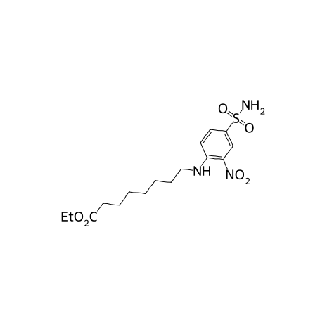 CCOC(=O)CCCCCCCNc1ccc(S(N)(=O)=O)cc1[N+](=O)[O-]